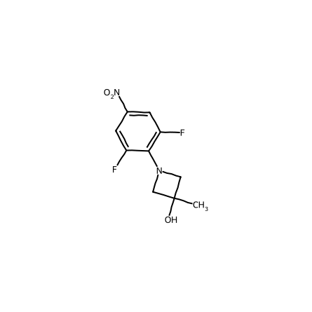 CC1(O)CN(c2c(F)cc([N+](=O)[O-])cc2F)C1